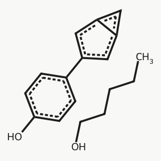 CCCCCO.Oc1ccc(-c2cc3cc-3c2)cc1